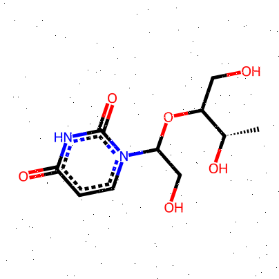 C[C@H](O)C(CO)OC(CO)n1ccc(=O)[nH]c1=O